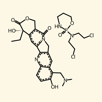 CC[C@@]1(O)C(=O)OCc2c1cc1n(c2=O)Cc2cc3c(CN(C)C)c(O)ccc3nc2-1.O=P1(N(CCCl)CCCl)NCCCO1